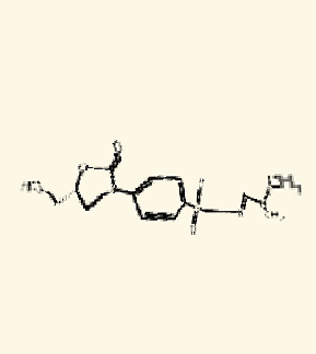 CN(C)C=NS(=O)(=O)c1ccc(N2C[C@H](CO)OC2=O)cc1